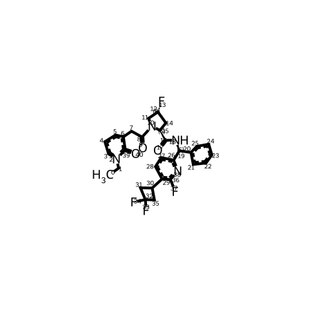 CCn1cccc(CC(=O)N2C[C@H](F)C[C@H]2C(=O)N[C@@H](c2ccccc2)c2ccc(C3CC(F)(F)C3)c(F)n2)c1=O